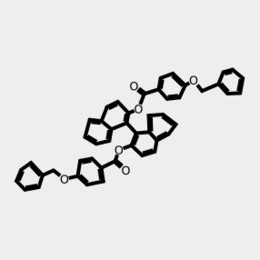 O=C(Oc1ccc2ccccc2c1-c1c(OC(=O)c2ccc(OCc3ccccc3)cc2)ccc2ccccc12)c1ccc(OCc2ccccc2)cc1